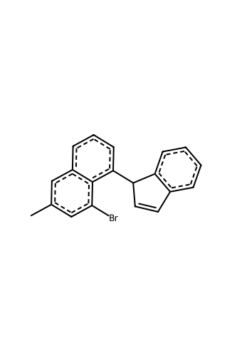 Cc1cc(Br)c2c(C3C=Cc4ccccc43)cccc2c1